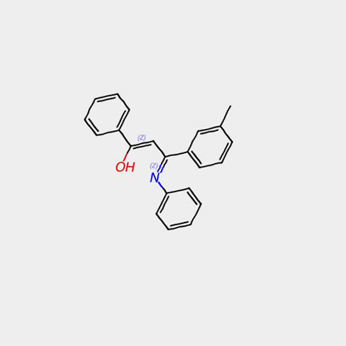 Cc1cccc(C(/C=C(\O)c2ccccc2)=N\c2ccccc2)c1